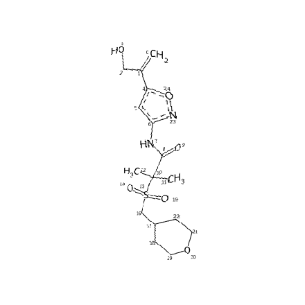 C=C(CO)c1cc(NC(=O)C(C)(C)S(=O)(=O)CC2CCOCC2)no1